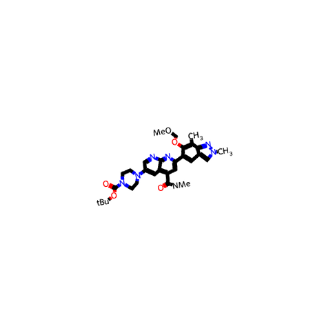 CNC(=O)c1cc(-c2cc3cn(C)nc3c(C)c2OCOC)nc2ncc(N3CCN(C(=O)OC(C)(C)C)CC3)cc12